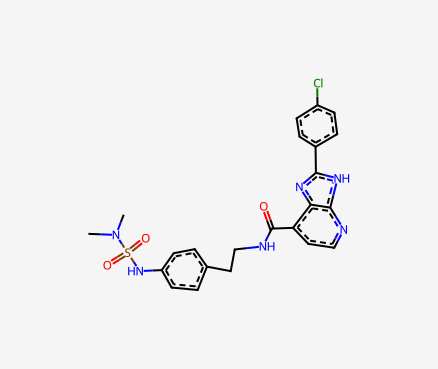 CN(C)S(=O)(=O)Nc1ccc(CCNC(=O)c2ccnc3[nH]c(-c4ccc(Cl)cc4)nc23)cc1